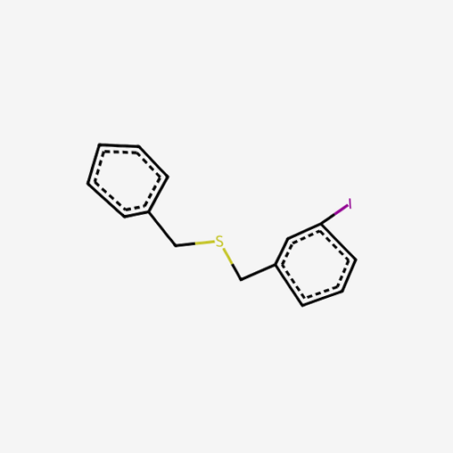 Ic1cccc(CSCc2ccccc2)c1